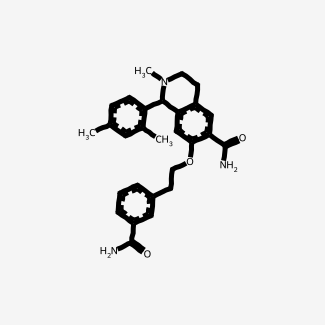 Cc1ccc(C2c3cc(OCCc4cccc(C(N)=O)c4)c(C(N)=O)cc3CCN2C)c(C)c1